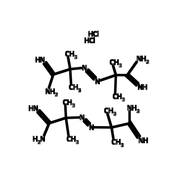 CC(C)(/N=N/C(C)(C)C(=N)N)C(=N)N.CC(C)(/N=N/C(C)(C)C(=N)N)C(=N)N.Cl.Cl